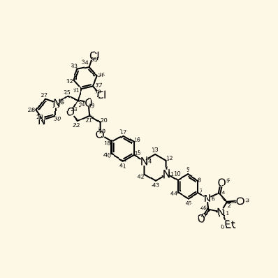 CCN1C(=O)C(=O)N(c2ccc(N3CCN(c4ccc(OCC5COC(Cn6ccnc6)(c6ccc(Cl)cc6Cl)O5)cc4)CC3)cc2)C1=O